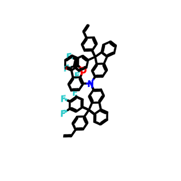 C=Cc1ccc(C2(c3cc(F)c(F)c(F)c3)c3ccccc3-c3ccc(N(c4ccc5c(c4)C(c4ccc(C=C)cc4)(c4cc(F)c(F)c(F)c4)c4ccccc4-5)c4cccc5c4oc4ccccc45)cc32)cc1